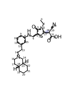 CCn1c(=O)c(=CNc2cccc(CCN3CC[C@H]4CCCC[C@@H]4C3)c2)s/c1=C(/C#N)C(=O)O